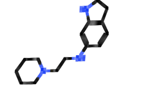 c1cc2c(cc1NCCN1CCCCC1)NCC2